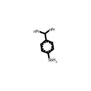 CCCC(CCC)c1cc[c]([SbH2])cc1